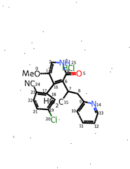 COc1c[nH]c(=O)c(C(Cc2ccccn2)C(=O)O)c1-c1cc(Cl)ccc1C#N.Cl